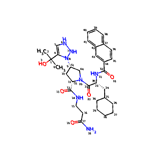 CC(C)(O)C1=CNNN1[C@H]1C[C@@H](C(=O)NCCC(N)=O)N(C(=O)[C@@H](CC2CCCCC2)NC(=O)c2ccc3ccccc3c2)C1